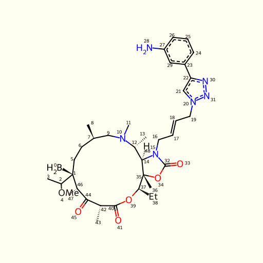 B[C@@]1(C(C)OC)CC[C@@H](C)CN(C)[C@H](C)[C@H]2N(C/C=C/Cn3cc(-c4cccc(N)c4)nn3)C(=O)O[C@]2(C)[C@@H](CC)OC(=O)[C@H](C)C(=O)[C@@H]1C